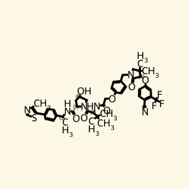 Cc1ncsc1-c1ccc([C@H](C)NC(=O)[C@@H]2C[C@@H](O)CN2C(=O)[C@@H](NC(=O)COc2ccc(CN3CC(C)(C)[C@@H](Oc4ccc(C#N)c(C(F)(F)F)c4)C3=O)cc2)C(C)(C)C)cc1